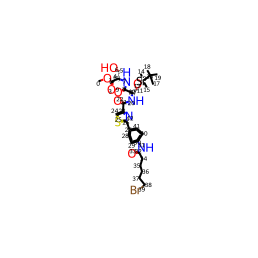 COC(=O)[C@H](CO)NC(=O)[C@H](CO[Si](C)(C)C(C)(C)C)NC(=O)c1csc(-c2ccc(NC(=O)CCCCCBr)cc2)n1